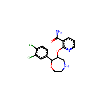 NC(=O)c1cccnc1OC1CNCCOC1c1ccc(Cl)c(Cl)c1